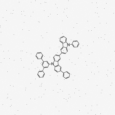 c1ccc(-c2cc(-c3ccccc3)cc(-n3c4ccc(-c5ccccc5)cc4c4cc(-c5ccc6c(c5)c5ccccc5n6-c5ccccc5)ccc43)c2)cc1